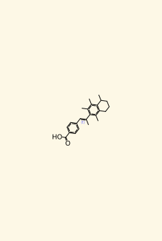 C/C(=C\c1ccc(C(=O)O)cc1)c1c(C)c(C)c2c(c1C)CCCC2C